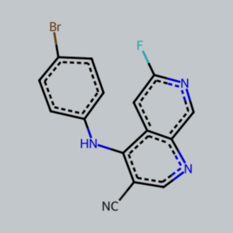 N#Cc1cnc2cnc(F)cc2c1Nc1ccc(Br)cc1